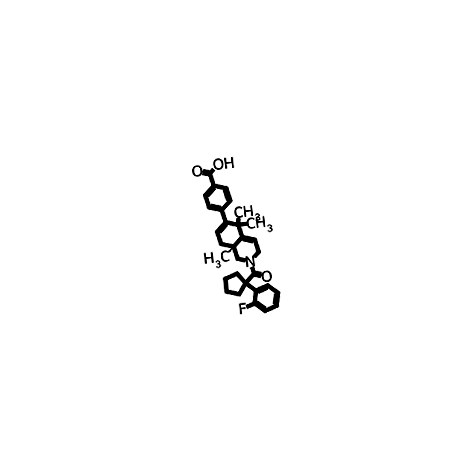 CC1(C)C(c2ccc(C(=O)O)cc2)=CC[C@]2(C)CN(C(=O)C3(c4ccccc4F)CCCC3)CC=C12